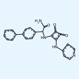 NC(=O)C(Nc1c(Nc2ccncc2)c(=O)c1=O)c1ccc(-c2ccccc2)cc1